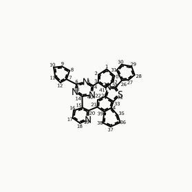 c1ccc(-c2nc(-c3ccccc3)nc(-c3cccnc3-c3cc4nc(-c5ccccc5)sc4c4ccccc34)n2)cc1